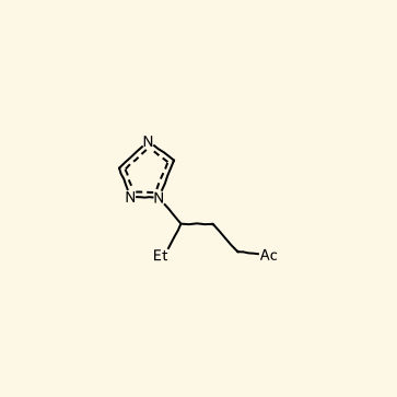 CCC(CCC(C)=O)n1cncn1